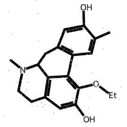 CCOc1c(O)cc2c3c1-c1cc(C)c(O)cc1CC3N(C)CC2